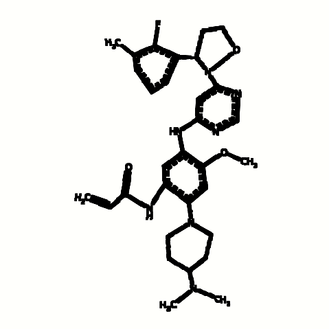 C=CC(=O)Nc1cc(Nc2cc(N3OCC[C@@H]3c3cccc(C)c3F)ncn2)c(OC)cc1N1CCC(N(C)C)CC1